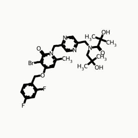 Cc1cc(OCc2ccc(F)cc2F)c(Br)c(=O)n1Cc1cnc(CN(CC(C)(C)O)C(=O)C(C)(C)O)cn1